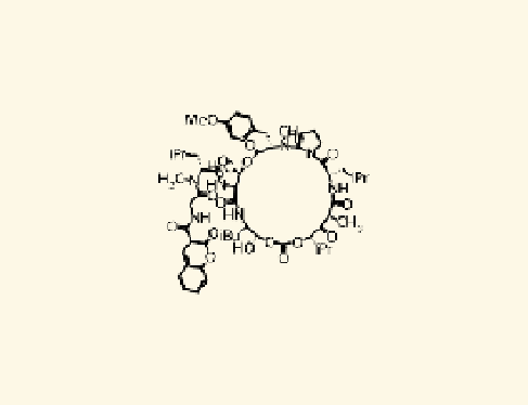 CC[C@H](C)[C@H]1NC(=O)[C@@H](NC(=O)[C@@H](CC(C)C)N(C)C(=O)CNC(=O)C2C=C3C=CC=CC3OC2=O)[C@@H](C)OC(=O)[C@H](Cc2ccc(OC)cc2)N(C)[C@@H]2CCCN2C(=O)[C@H](CC(C)C)NC(=O)[C@@H](C)C(=O)[C@H](C(C)C)OC(=O)C[C@@H]1O